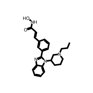 CCCN1CCCC(n2c(-c3cccc(C=CC(=O)NO)c3)nc3ccccc32)C1